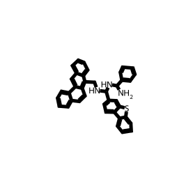 NC(NC(NCc1c2ccccc2cc2c1ccc1ccccc12)c1ccc2c(c1)sc1ccccc12)c1ccccc1